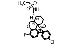 CCS(=O)(=O)NC[C@@H]1CCCC2(S(=O)(=O)c3ccc(Cl)cc3)c3c(F)ccc(F)c3OC[C@@H]12